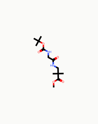 COC(=O)C(C)(C)CNC(=O)CNC(=O)OC(C)(C)C